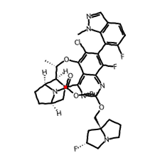 C[C@@H]1Oc2c(Cl)c(-c3c(F)ccc4cnn(C)c34)c(F)c3nc(OC[C@@]45CCCN4C[C@H](F)C5)nc(c23)N2C[C@H]3CC[C@@H]([C@@H]12)N3C(=O)OC(C)(C)C